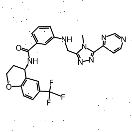 Cn1c(CNc2cccc(C(=O)N[C@@H]3CCOc4ccc(C(F)(F)F)cc43)c2)nnc1-c1ccncn1